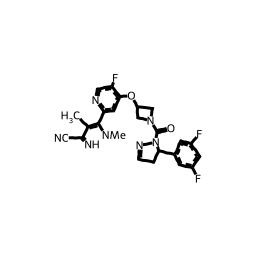 CN/C(=C(/C)C(=N)C#N)c1cc(OC2CN(C(=O)N3N=CCC3c3cc(F)cc(F)c3)C2)c(F)cn1